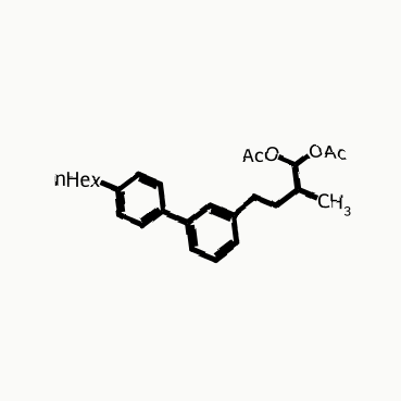 CCCCCCc1ccc(-c2cccc(CCC(C)C(OC(C)=O)OC(C)=O)c2)cc1